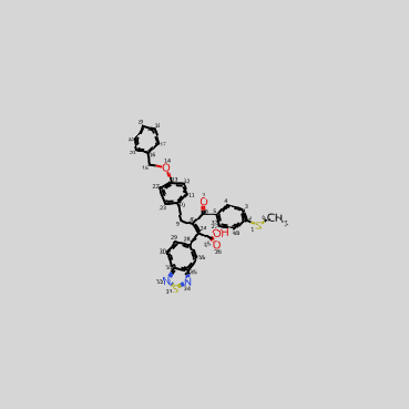 CSc1ccc(C(=O)C(Cc2ccc(OCc3ccccc3)cc2)=C(C(=O)O)c2ccc3nsnc3c2)cc1